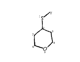 [CH2]SC1CCOCC1